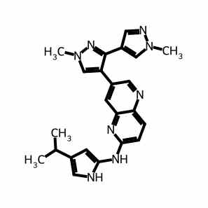 CC(C)c1c[nH]c(Nc2ccc3ncc(-c4cn(C)nc4-c4cnn(C)c4)cc3n2)c1